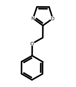 [c]1ccccc1OCc1ncco1